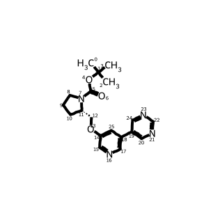 CC(C)(C)OC(=O)N1CCC[C@H]1COc1cncc(-c2cncnc2)c1